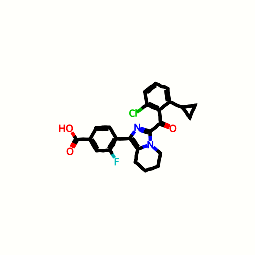 O=C(O)c1ccc(-c2nc(C(=O)c3c(Cl)cccc3C3CC3)n3c2CCCC3)c(F)c1